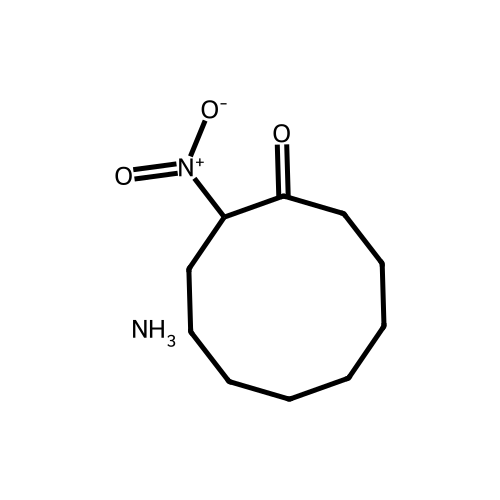 N.O=C1CCCCCCCCC1[N+](=O)[O-]